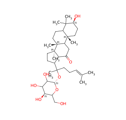 CC(C)=CCCC(C)(O[C@@H]1OC(CO)[C@@H](O)C(O)C1O)C1CC[C@]2(C)C1C(=O)CC1[C@@]3(C)CC[C@H](O)C(C)(C)C3CC[C@]12C